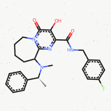 C[C@H](c1ccccc1)N(C)C1CCCCn2c1nc(C(=O)NCc1ccc(F)cc1)c(O)c2=O